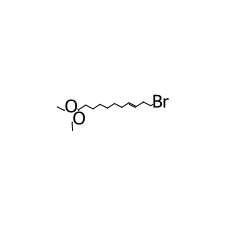 CCOC(CCCCCC/C=C/CCBr)OCC